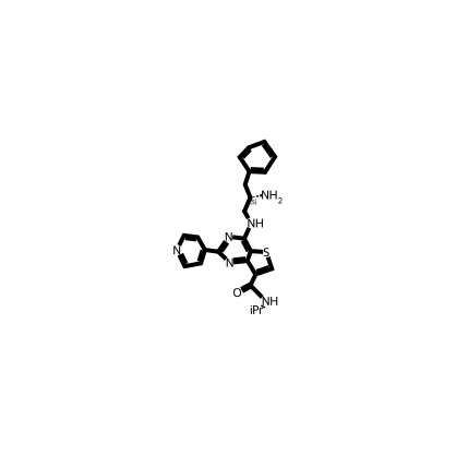 CC(C)NC(=O)c1csc2c(NC[C@@H](N)Cc3ccccc3)nc(-c3ccncc3)nc12